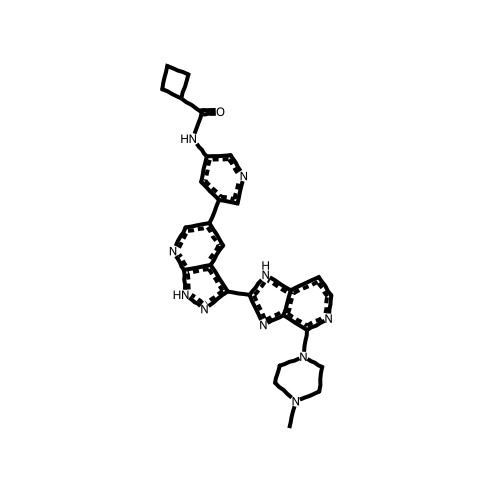 CN1CCN(c2nccc3[nH]c(-c4n[nH]c5ncc(-c6cncc(NC(=O)C7CCC7)c6)cc45)nc23)CC1